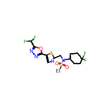 CCS(=O)(=O)N(Cc1ncc(-c2nnc(C(F)F)o2)s1)C1CCC(F)(F)CC1